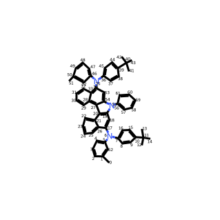 Cc1cccc(N(c2ccc(C(C)(C)C)cc2)c2cc3c(c4ccccc24)c2c4ccccc4c(N(c4ccc(C(C)(C)C)cc4)c4cccc(C)c4)cc2n3-c2ccccc2)c1